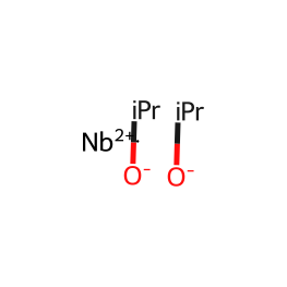 CC(C)[O-].CC(C)[O-].[Nb+2]